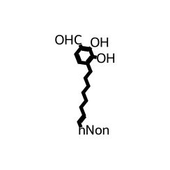 CCCCCCCCCC=CCCCCCCc1ccc(C=O)c(O)c1O